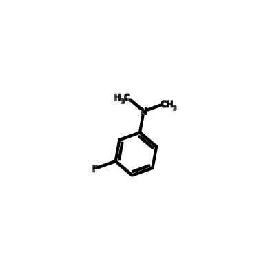 CN(C)c1cccc(F)c1